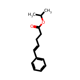 CC(C)OC(=O)CCC=Cc1ccccc1